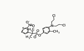 Cc1cc(OS(=O)(=O)C(C)(C)c2ccsc2[N+](=O)[O-])ccc1N(CCCl)CCCl